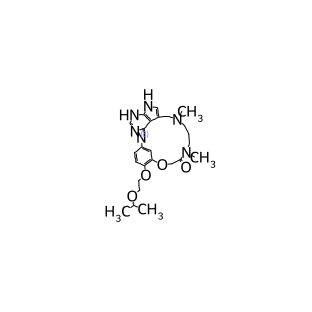 CC(C)OCCOc1ccc2cc1OCC(=O)N(C)CCCN(C)Cc1c[nH]c3c1/C(=N\2)N=CN3